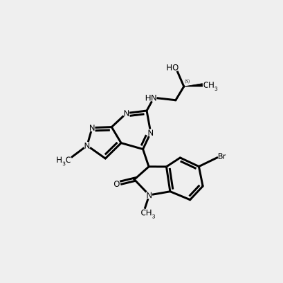 C[C@H](O)CNc1nc(C2C(=O)N(C)c3ccc(Br)cc32)c2cn(C)nc2n1